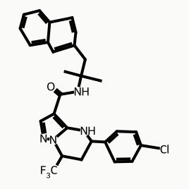 CC(C)(Cc1ccc2ccccc2c1)NC(=O)c1cnn2c1NC(c1ccc(Cl)cc1)CC2C(F)(F)F